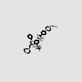 CON1CCN(c2ccc(C(=O)NS(=O)(=O)c3ccc(NC(CCN4CCCOCC4)CSc4ccccc4)c(S(=O)(=O)C(F)(F)F)c3)cc2)CC1